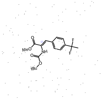 COC(=O)/C(=C/c1ccc(C(C)(F)F)cc1)NC(=O)OC(C)(C)C